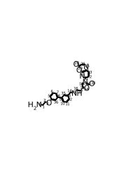 NCCOc1cccc(-c2cccc(CNCC[C@H]3CN(c4ccc5ncc(=O)oc5n4)C(=O)O3)c2)c1